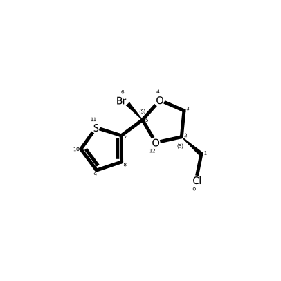 ClC[C@@H]1CO[C@@](Br)(c2cccs2)O1